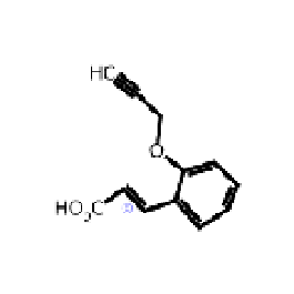 C#CCOc1ccccc1/C=C/C(=O)O